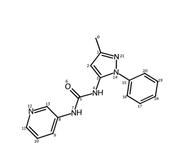 Cc1cc(NC(=O)Nc2cccnc2)n(-c2ccccc2)n1